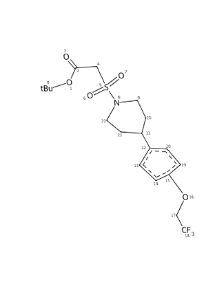 CC(C)(C)OC(=O)CS(=O)(=O)N1CCC(c2ccc(OCC(F)(F)F)cc2)CC1